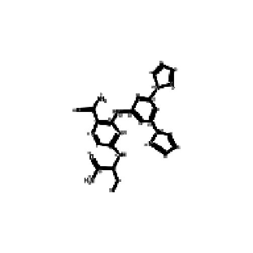 CCC(Nc1cnc(C(N)=O)c(Nc2cc(-n3cccn3)cc(-n3cccn3)c2)n1)C(N)=O